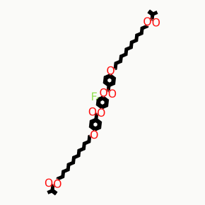 C=C(C)C(=O)OCCCCCCCCCCCCCOc1ccc(C(=O)Oc2ccc(OC(=O)c3ccc(OCCCCCCCCCCCCCOC(=O)C(=C)C)cc3)c(F)c2)cc1